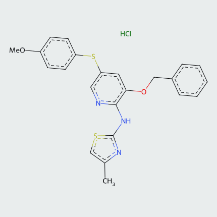 COc1ccc(Sc2cnc(Nc3nc(C)cs3)c(OCc3ccccc3)c2)cc1.Cl